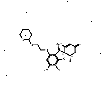 COC1=CC(=O)C[C@@H](C)[C@]12Oc1c(Cl)c(O)cc(OCCOC3CCCCO3)c1C2=O